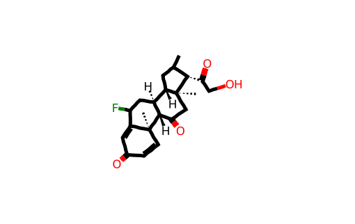 CC1C[C@H]2[C@@H]3CC(F)C4=CC(=O)C=C[C@]4(C)[C@H]3C(=O)C[C@]2(C)[C@H]1C(=O)CO